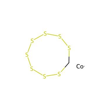 C1SSSSSSSS1.[Co]